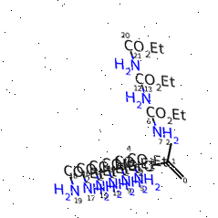 C=C(C)C(=O)O.CCOC(N)=O.CCOC(N)=O.CCOC(N)=O.CCOC(N)=O.CCOC(N)=O.CCOC(N)=O.CCOC(N)=O.CCOC(N)=O.CCOC(N)=O